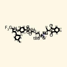 Cc1ccc(-c2cc(C(F)(F)F)nn2-c2ccc(S(=O)(=O)NC(=O)OCCN(/[N+]([O-])=N/OC(C)N3C(=O)c4ccccc4C3=O)C(C)(C)C)cc2)cc1